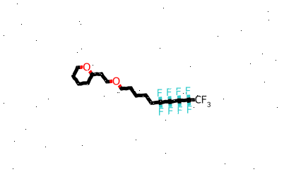 FC(F)(F)C(F)(F)C(F)(F)C(F)(F)C(F)(F)CCCCCOCCC1CCCCO1